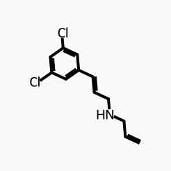 C=CCNCC=Cc1cc(Cl)cc(Cl)c1